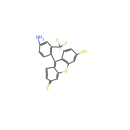 Nc1ccc(-c2c3ccc(=S)cc-3sc3cc(S)ccc23)c(C(F)(F)F)c1